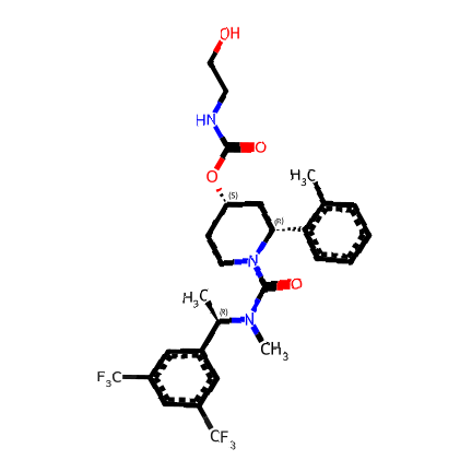 Cc1ccccc1[C@H]1C[C@@H](OC(=O)NCCO)CCN1C(=O)N(C)[C@H](C)c1cc(C(F)(F)F)cc(C(F)(F)F)c1